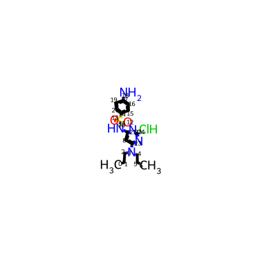 CCCN(CCC)c1cc(NS(=O)(=O)c2ccc(N)cc2)ncn1.Cl